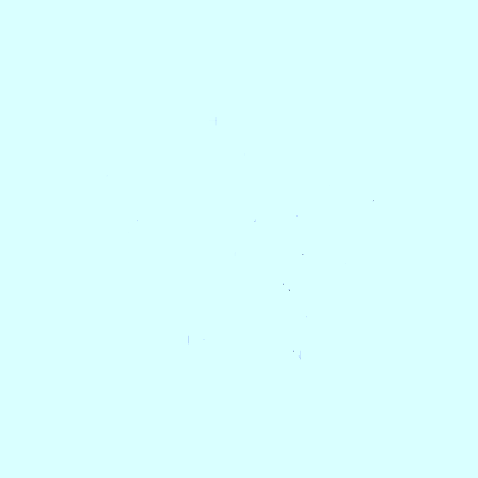 Br.COc1cc(Cn2c3c(sc2=N)CCCC3)cc(OC)c1